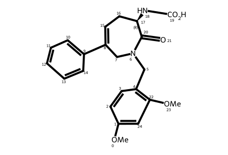 COc1ccc(CN2CC(c3ccccc3)=CC[C@@H](NC(=O)O)C2=O)c(OC)c1